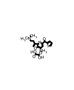 CN(C)CCc1coc2c(N)cc(C(=O)c3cccs3)nc12.O=C(O)C(=O)O